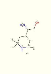 CC1(C)CC(C(N)CO)CC(C)(C)N1